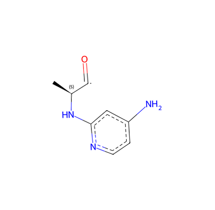 C[C@@H]([C]=O)Nc1cc(N)ccn1